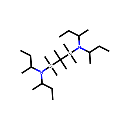 CCC(C)N(C(C)CC)[Si](C)(C)C(C)(C)[Si](C)(C)N(C(C)CC)C(C)CC